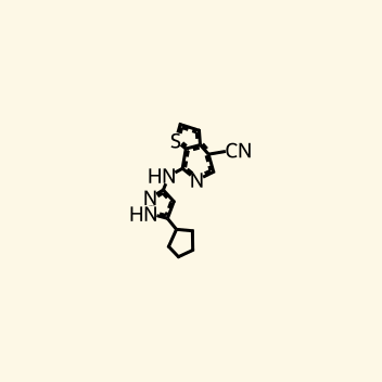 N#Cc1cnc(Nc2cc(C3CCCC3)[nH]n2)c2sccc12